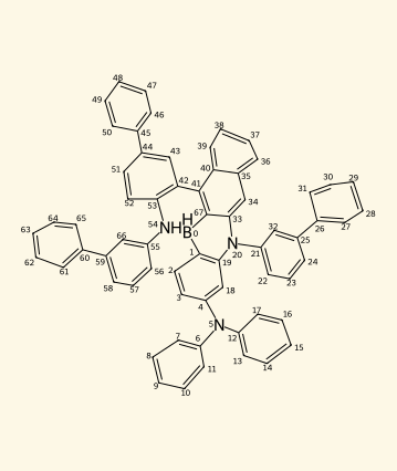 B1c2ccc(N(c3ccccc3)c3ccccc3)cc2N(c2cccc(-c3ccccc3)c2)c2cc3ccccc3c(-c3cc(-c4ccccc4)ccc3Nc3cccc(-c4ccccc4)c3)c21